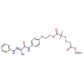 CCCCCCCCOC(=O)CSCC(C)(C)C(=O)OCCOc1ccc(NC(=O)/C(=N/Nc2ccccc2)C(C)=O)cc1